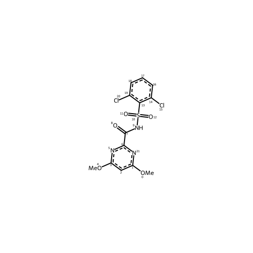 COc1cc(OC)nc(C(=O)NS(=O)(=O)c2c(Cl)cccc2Cl)n1